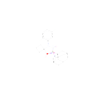 NC(=O)C12CC3CC(C1)C(NC(=O)C1(N(c4cc(F)ccc4F)[SH](=O)=O)CCC1)C(C3)C2